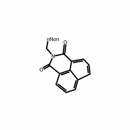 CCCCCCCCCCN1C(=O)c2cccc3cccc(c23)C1=O